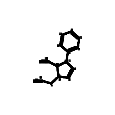 CCCCCCCCCCCN1C=CN(c2ccccc2)C1CCCCCCCCC